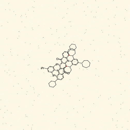 CC(C)c1cc(C(C)C)c(-n2c3cc(C4CCCCC4)ccc3c(=O)c3cc4c(cc32)c(=O)c2ccc(C3CCCCC3)cc2n4-c2c(C3CCCCCC3)cc(C3CCCCCC3)cc2C2CCCCCC2)c(C(C)C)c1